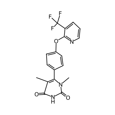 Cc1c(-c2ccc(Oc3ncccc3C(F)(F)F)cc2)n(C)c(=O)[nH]c1=O